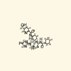 O=C(NC1=N[C@@]2(c3cccc(NC(=O)c4ccc(CO)cn4)c3)CN(c3ncc(F)cn3)C[C@H]2CS1)c1ccccc1